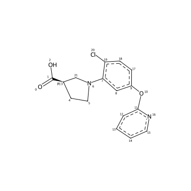 O=C(O)[C@@H]1CCN(c2cc(Oc3ccccn3)ccc2Cl)C1